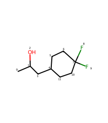 CC(O)CC1C[CH]C(F)(F)CC1